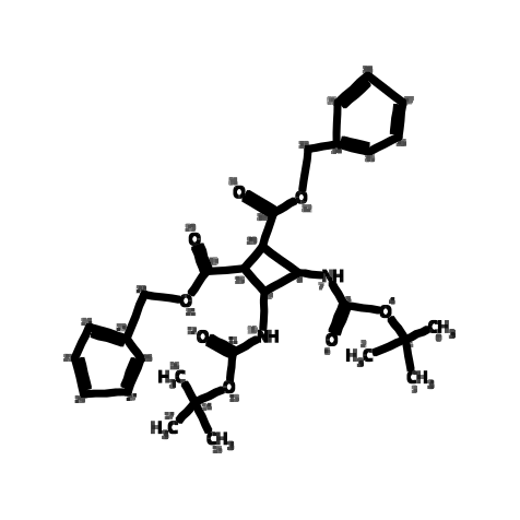 CC(C)(C)OC(=O)NC1C(NC(=O)OC(C)(C)C)C(C(=O)OCc2ccccc2)C1C(=O)OCc1ccccc1